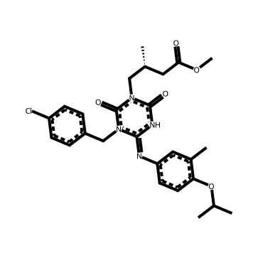 COC(=O)C[C@@H](C)Cn1c(=O)[nH]/c(=N\c2ccc(OC(C)C)c(C)c2)n(Cc2ccc(Cl)cc2)c1=O